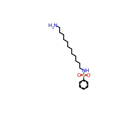 NCCCCCCCCCCCCNS(=O)(=O)c1ccccc1